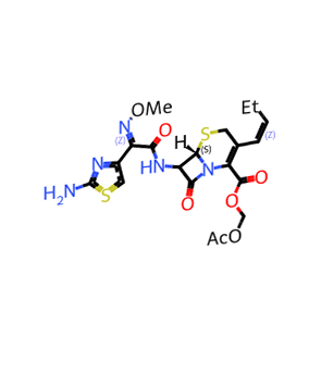 CC/C=C\C1=C(C(=O)OCOC(C)=O)N2C(=O)C(NC(=O)/C(=N\OC)c3csc(N)n3)[C@@H]2SC1